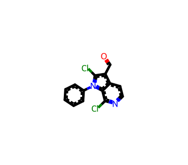 O=Cc1c(Cl)n(-c2ccccc2)c2c(Cl)nccc12